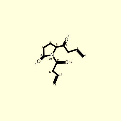 C=CCC(=O)C1CCC(=O)N1C(=O)CC=C